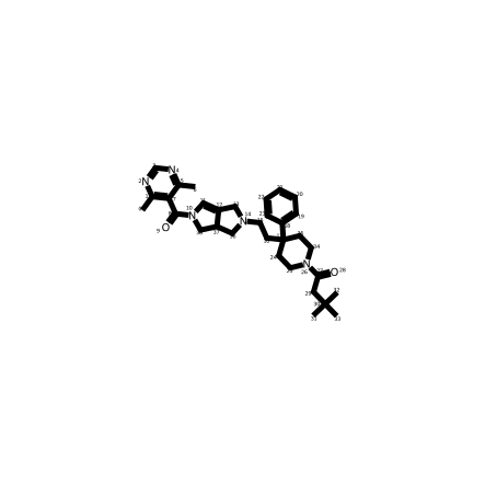 Cc1ncnc(C)c1C(=O)N1C=C2CN(CCC3(c4ccccc4)CCN(C(=O)CC(C)(C)C)CC3)CC2C1